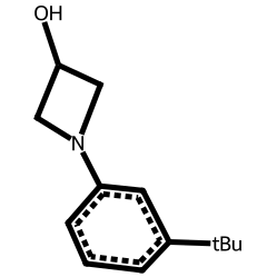 CC(C)(C)c1cccc(N2CC(O)C2)c1